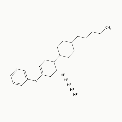 CCCCCC1CCC(C2CC=C(Sc3ccccc3)CC2)CC1.F.F.F.F.F